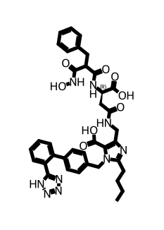 CCCCc1nc(CNC(=O)C[C@@H](NC(=O)C(Cc2ccccc2)C(=O)NO)C(=O)O)c(C(=O)O)n1Cc1ccc(-c2ccccc2-c2nnn[nH]2)cc1